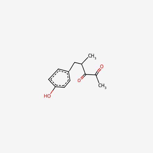 CC(=O)C(=O)C(C)Cc1ccc(O)cc1